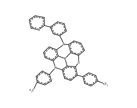 FC(F)(F)c1ccc(-c2ccc3c4c2Oc2cccc5c2B4c2c(cccc2N3c2ccc(C(F)(F)F)cc2)N5c2cccc(-c3ccccn3)c2)cc1